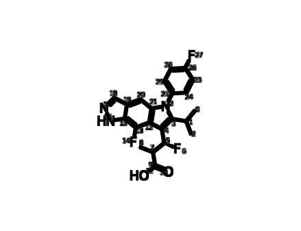 CC(C)c1c([C@@H](F)C(C)C(=O)O)c2c(F)c3[nH]ncc3cc2n1-c1ccc(F)cc1